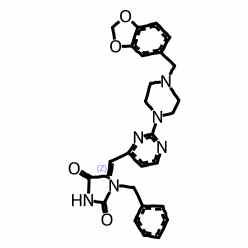 O=C1NC(=O)N(Cc2ccccc2)/C1=C\c1ccnc(N2CCN(Cc3ccc4c(c3)OCO4)CC2)n1